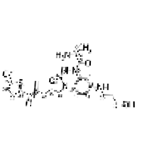 C[C@H](N)C(=O)Nc1cc(NCCCO)ccc1N1CC(CNC(=O)c2ccc(Cl)s2)OC1=O